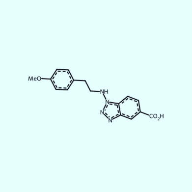 COc1ccc(CCNn2nnc3cc(C(=O)O)ccc32)cc1